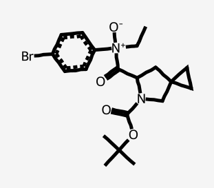 CC[N+]([O-])(C(=O)C1CC2(CC2)CN1C(=O)OC(C)(C)C)c1ccc(Br)cc1